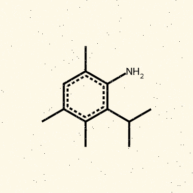 Cc1cc(C)c(N)c(C(C)C)c1C